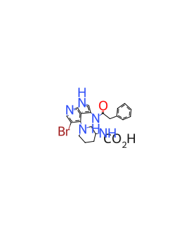 O=C(O)NC1CCCN(c2c(Br)cnc3[nH]cc(NC(=O)Cc4ccccc4)c23)C1